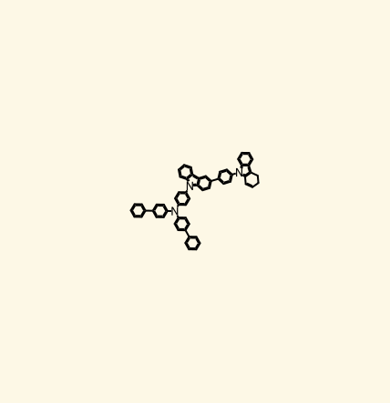 C1=Cc2c(c3ccccc3n2-c2ccc(-c3ccc4c(c3)c3ccccc3n4-c3ccc(N(c4ccc(-c5ccccc5)cc4)c4ccc(-c5ccccc5)cc4)cc3)cc2)CC1